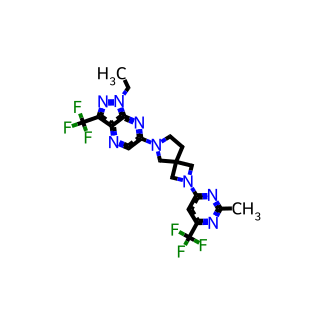 CCn1nc(C(F)(F)F)c2ncc(N3CCC4(CN(c5cc(C(F)(F)F)nc(C)n5)C4)C3)nc21